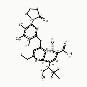 CCc1cc(Cc2cc(N3CCCC3=O)c(F)c(Cl)c2F)c2c(=O)c(C(=O)O)cn([C@H](CO)C(C)(C)C)c2c1